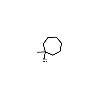 C[CH]C1(C)CCCCCC1